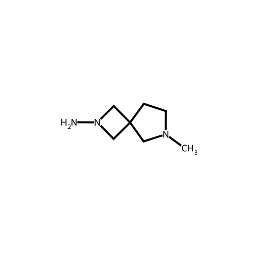 CN1CCC2(C1)CN(N)C2